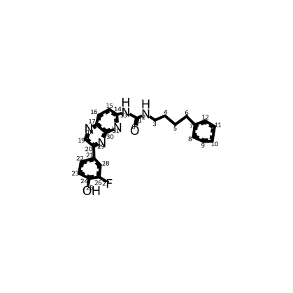 O=C(NCCCCc1ccccc1)Nc1ccc2ncc(-c3ccc(O)c(F)c3)nc2n1